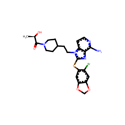 C[C@@H](O)C(=O)N1CCC(CCn2c(Sc3cc4c(cc3Br)OCO4)nc3c(N)nccc32)CC1